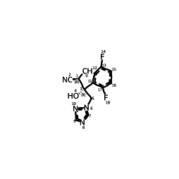 C[C@H](C#N)[C@](O)(Cn1cncn1)c1cc(F)ccc1F